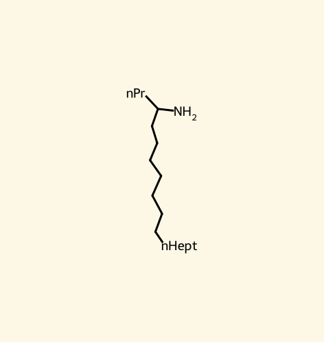 CCCCCCCCCCCCCCC(N)CCC